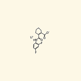 O=C([O-])C1=C(C(=O)Nc2ccc(F)cc2F)CCCC1.[Li+]